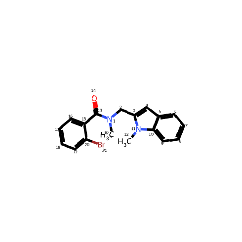 CN(Cc1cc2ccccc2n1C)C(=O)c1ccccc1Br